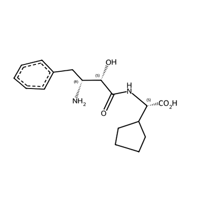 N[C@H](Cc1ccccc1)[C@H](O)C(=O)N[C@H](C(=O)O)C1CCCC1